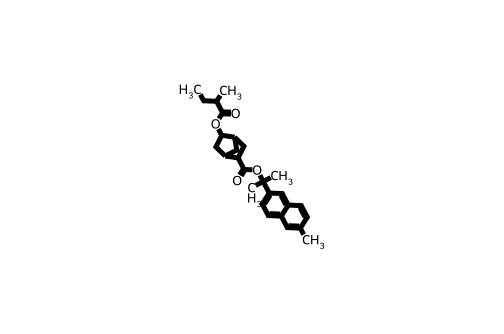 CCC(C)C(=O)OC1CC2CC1CC2C(=O)OC(C)(C)c1ccc2cc(C)ccc2c1